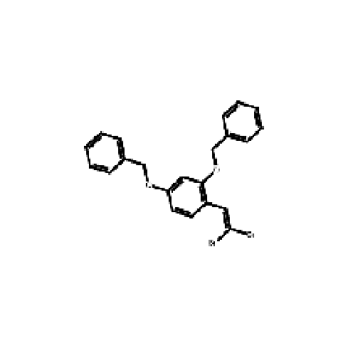 BrC(Br)=Cc1ccc(OCc2ccccc2)cc1OCc1ccccc1